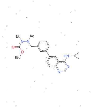 CCN(C(=O)OC(C)(C)C)N(Cc1cccc(-c2ccc3ncnc(NC4CC4)c3c2)c1)C(C)=O